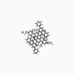 Cc1cc(C)c(-c2cc3c4c(cc5c(-c6c(C)cc(C)cc6C)cc6c7c(cc2c4c57)B2c4ccccc4Oc4cc(-c5ccccc5)cc-6c42)B2c4ccccc4Oc4cc(-c5ccccc5)cc-3c42)c(C)c1